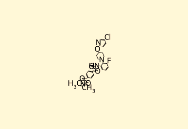 CN(C)S(=O)(=O)c1ccc(S(=O)(=O)Nc2cccc(F)c2N2CCC(Oc3ccc(Cl)cn3)CC2)cc1